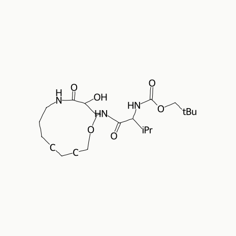 CC(C)C(NC(=O)OCC(C)(C)C)C(=O)NC1OCCCCCCCNC(=O)C1O